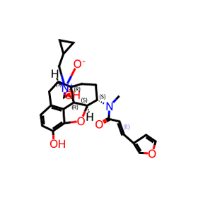 CN(C(=O)/C=C/c1ccoc1)[C@H]1CC[C@]2(O)[C@@H]3Cc4ccc(O)c5c4[C@]2(CC[N+]3([O-])CC2CC2)[C@@H]1O5